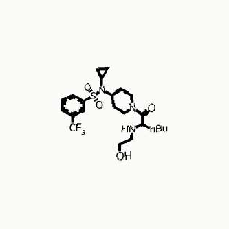 CCCCC(NCCO)C(=O)N1CCC(N(C2CC2)S(=O)(=O)c2cccc(C(F)(F)F)c2)CC1